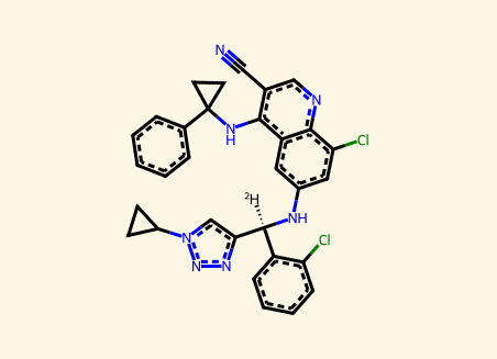 [2H][C@@](Nc1cc(Cl)c2ncc(C#N)c(NC3(c4ccccc4)CC3)c2c1)(c1cn(C2CC2)nn1)c1ccccc1Cl